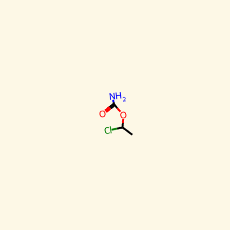 CC(Cl)OC(N)=O